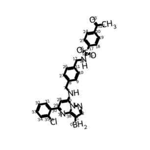 Bc1cnn2c(NCc3ccc(CNS(=O)(=O)c4ccc(C(C)=O)cc4)cc3)cc(-c3ccccc3Cl)nc12